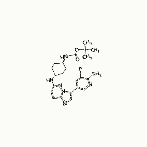 CC(C)(C)OC(=O)N[C@H]1CC[C@H](Nc2ccc3ncc(-c4cnc(N)c(F)c4)n3n2)CC1